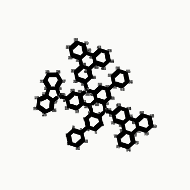 c1ccc(-c2ccc3c(c2)B2c4ccc(-n5c6ccccc6c6ccccc65)cc4N(c4ccc5c6ccccc6c6ccccc6c5c4)c4cc(-c5ccccc5)cc(c42)N3c2ccc3c4ccccc4c4ccccc4c3c2)cc1